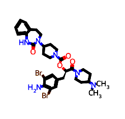 CN(C)C1CCN(C(=O)[C@@H](Cc2cc(Br)c(N)c(Br)c2)OC(=O)N2CCC(N3CCc4ccccc4NC3=O)CC2)CC1